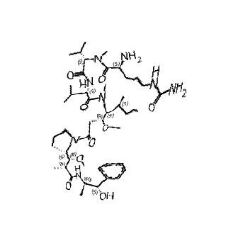 CC[C@H](C)[C@@H]([C@@H](CC(=O)N1CCC[C@H]1[C@H](OC)[C@@H](C)C(=O)N[C@H](C)[C@@H](O)c1ccccc1)OC)N(C)C(=O)[C@@H](NC(=O)[C@H](C(C)C)N(C)C(=O)[C@@H](N)CCCNC(N)=O)C(C)C